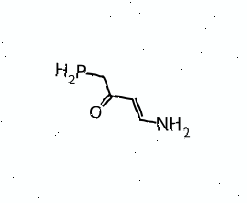 N/C=C/C(=O)CP